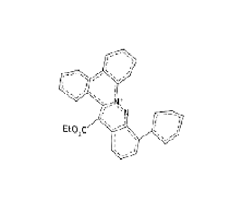 CCOC(=O)c1c2cccc(-c3ccccc3)c2n[n+]2c3ccccc3c3ccccc3c12